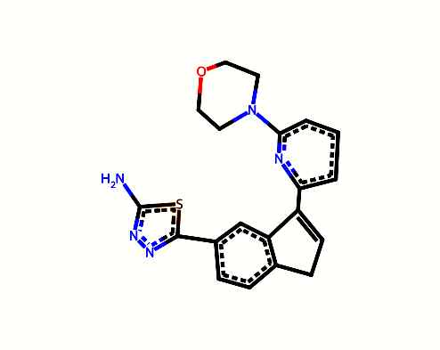 Nc1nnc(-c2ccc3c(c2)C(c2cccc(N4CCOCC4)n2)=CC3)s1